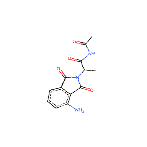 CC(=O)NC(=O)C(C)N1C(=O)c2cccc(N)c2C1=O